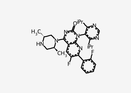 CC(C)c1ncnc(C(C)C)c1-n1c(=O)nc(N2C[C@@H](C)NC[C@@H]2C)c2cc(F)c(-c3ccccc3F)nc21